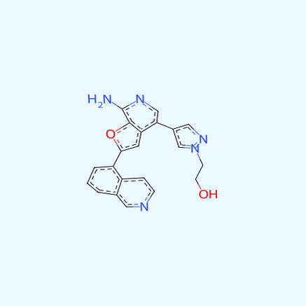 Nc1ncc(-c2cnn(CCO)c2)c2cc(-c3cccc4cnccc34)oc12